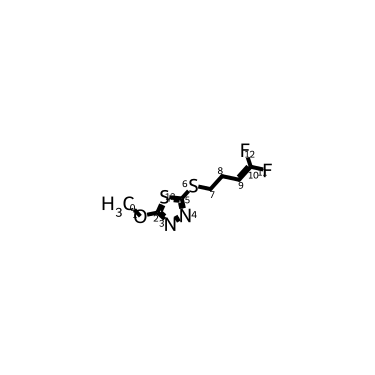 COc1nnc(SCCC=C(F)F)s1